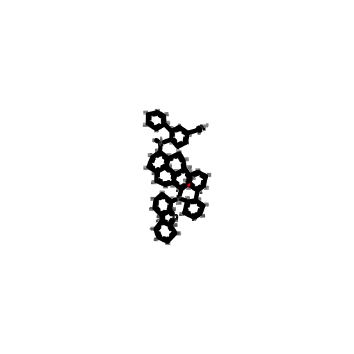 CN(c1ccc(C#N)cc1-c1ccccc1)c1ccc2ccc3c(N(c4ccccc4-c4ccccc4)c4cccc5c4oc4ccccc45)ccc4ccc1c2c43